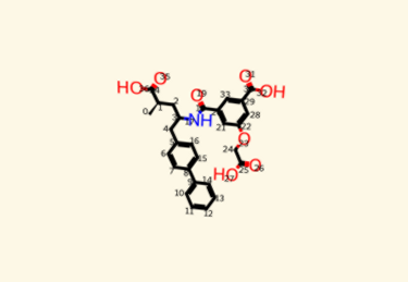 C[C@H](CC(Cc1ccc(-c2ccccc2)cc1)NC(=O)c1cc(OCC(=O)O)cc(C(=O)O)c1)C(=O)O